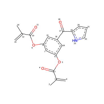 C=C(C)C(=O)Oc1cc(OC(=O)C(=C)C)cc(C(=O)c2ccc[nH]2)c1